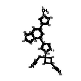 Cn1cc(-c2cc(-c3cnn(C4(CC#N)CC(C#N)C4)c3)n3ccnc3c2)cn1